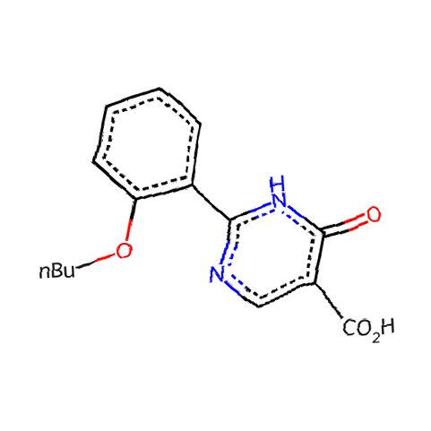 CCCCOc1ccccc1-c1ncc(C(=O)O)c(=O)[nH]1